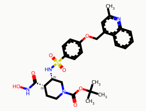 Cc1cc(COc2ccc(S(=O)(=O)N[C@@H]3CN(C(=O)OC(C)(C)C)CC[C@@H]3C(=O)NO)cc2)c2ccccc2n1